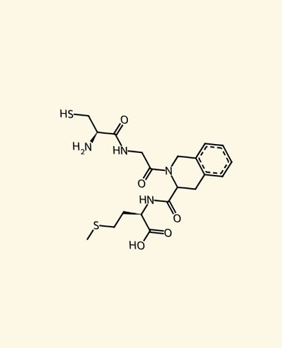 CSCC[C@@H](NC(=O)C1Cc2ccccc2CN1C(=O)CNC(=O)[C@@H](N)CS)C(=O)O